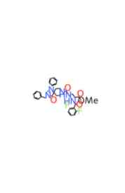 COC(=O)C(CNC(=O)N1CCC2(CC1)C(=O)N(Cc1ccccc1)CN2c1ccccc1)NC(=O)c1c(F)cccc1F